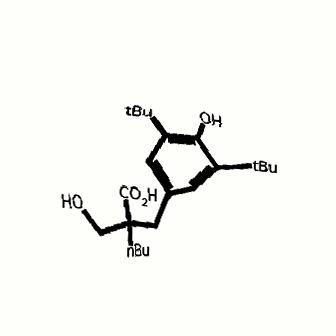 CCCCC(CO)(Cc1cc(C(C)(C)C)c(O)c(C(C)(C)C)c1)C(=O)O